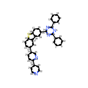 c1ccc(-c2nc(-c3ccccc3)nc(-c3ccc4sc5ccc(-c6ccc(-c7ccncc7)nc6)cc5c4c3)n2)cc1